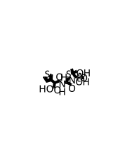 CC1(C)S[C@@H]2C(NC(=O)C(C(=O)O)c3ccsc3)C(=O)N2C1P(=O)(O)O